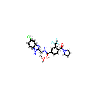 COC[C@H](NC(=O)c1ccc(C(=O)N2CCCC2)c(C(F)(F)F)c1)c1nc2cc(Cl)ccc2[nH]1